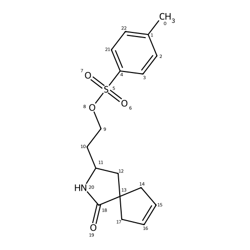 Cc1ccc(S(=O)(=O)OCCC2CC3(CC=CC3)C(=O)N2)cc1